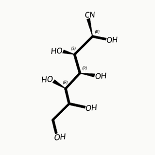 N#C[C@@H](O)[C@H](O)[C@@H](O)[C@H](O)C(O)CO